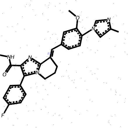 CNC(=O)c1nc2n(c1-c1ccc(F)cc1)CCC/C2=C\c1ccc(-n2cnc(C)c2)c(OC)c1